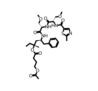 CC[C@](C)(C[C@H](Cc1ccccc1)NC(=O)[C@H](COC)NC(=O)[C@H](COC)NC(=O)c1cnc(C)s1)OC(=O)CCCOC(C)=O